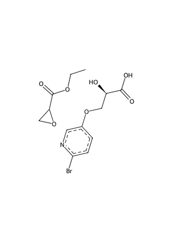 CCOC(=O)C1CO1.O=C(O)[C@H](O)COc1ccc(Br)nc1